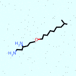 CC(C)CCCCCCCOCCCC(N)CCN